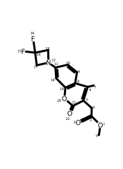 COC(=O)Cc1c(C)c2ccc(N3CC(F)(F)C3)cc2oc1=O